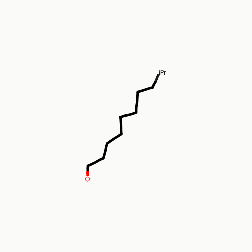 CC(C)CCCCCCCC[O]